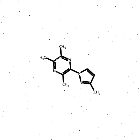 Cc1ccn(-c2nc(C)c(C)nc2C)n1